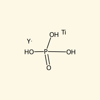 O=P(O)(O)O.[Ti].[Y]